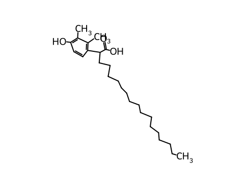 CCCCCCCCCCCCCCCCC(C(=O)O)c1ccc(O)c(C)c1C